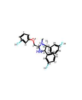 CN1[C@H](COc2cccc(F)c2)NC(c2cccc(F)c2)[C@]1(C)c1cccc(F)c1